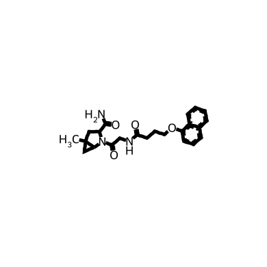 CC12CC(C(N)=O)N(C(=O)CNC(=O)CCCOc3cccc4ccccc34)C1C2